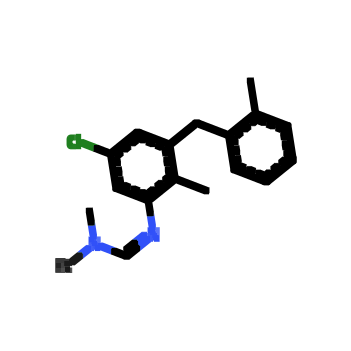 CCN(C)/C=N\c1cc(Cl)cc(Cc2ccccc2C)c1C